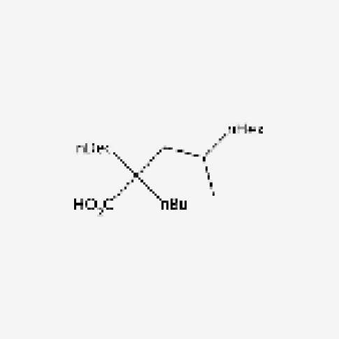 CCCCCCCCCCC(CCCC)(CC(C)CCCCCC)C(=O)O